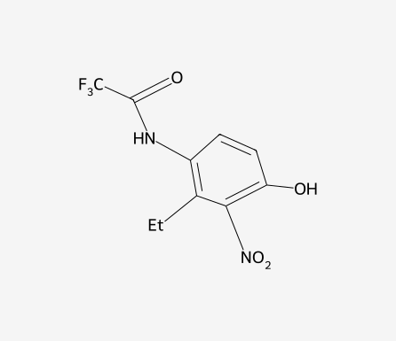 CCc1c(NC(=O)C(F)(F)F)ccc(O)c1[N+](=O)[O-]